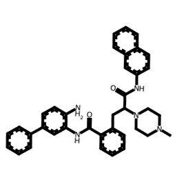 CN1CCN(C(Cc2ccccc2C(=O)Nc2cc(-c3ccccc3)ccc2N)C(=O)Nc2ccc3ccccc3c2)CC1